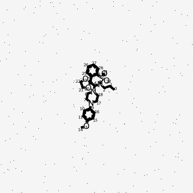 CCCN1C(N2CCN(c3ccc(OC)cc3)CC2)C2(OCCO2)c2ccccc2S1(=O)=O